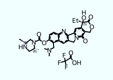 CC[C@@]1(O)C(=O)OCc2c1cc1n(c2=O)Cc2cc3c(CN(C)C)c(OC(=O)N4C[C@H](C)NC[C@H]4C)ccc3nc2-1.O=C(O)C(F)(F)F